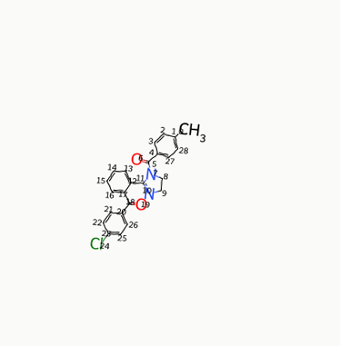 Cc1ccc(C(=O)N2CCN=C2c2ccccc2C(=O)c2ccc(Cl)cc2)cc1